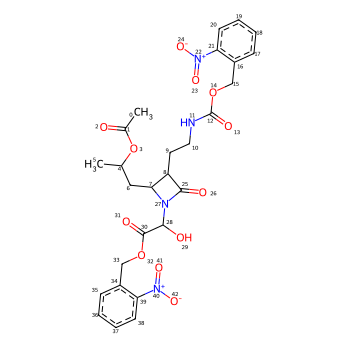 CC(=O)OC(C)CC1C(CCNC(=O)OCc2ccccc2[N+](=O)[O-])C(=O)N1C(O)C(=O)OCc1ccccc1[N+](=O)[O-]